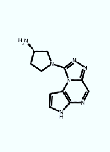 N[C@@H]1CCN(c2nnc3cnc4[nH]ccc4n23)C1